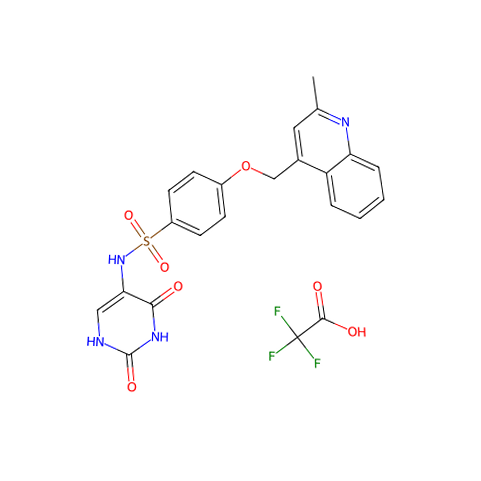 Cc1cc(COc2ccc(S(=O)(=O)Nc3c[nH]c(=O)[nH]c3=O)cc2)c2ccccc2n1.O=C(O)C(F)(F)F